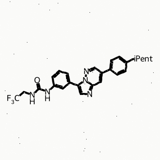 [CH2]C([CH]CC)c1ccc(-c2cnn3c(-c4cccc(NC(=O)NCC(F)(F)F)c4)cnc3c2)cc1